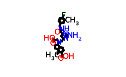 Cc1cc(CNC(=O)c2cc(CN(CC(=O)O)C3CCc4c3ccc(C(=O)O)c4C)nc(N)n2)ccc1F